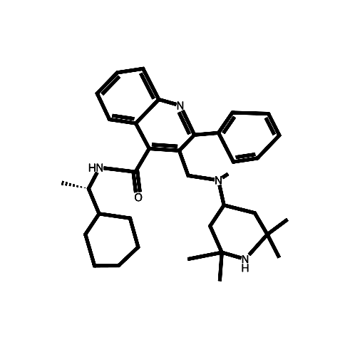 C[C@H](NC(=O)c1c(CN(C)C2CC(C)(C)NC(C)(C)C2)c(-c2ccccc2)nc2ccccc12)C1CCCCC1